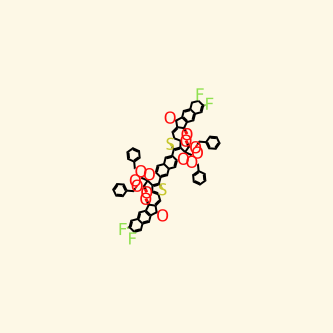 O=C1C(=Cc2cc3c(s2)C2=CC4C=C5OC(C(=O)OCc6ccccc6)(C(=O)OCc6ccccc6)C6=C(SC(/C=C7\C(=O)c8cc9c(cc8C7=O)CC(F)C(F)=C9)C6)C5=CC4C=C2OC3(C(=O)OCc2ccccc2)C(=O)OCc2ccccc2)C(=O)c2cc3cc(F)c(F)cc3cc21